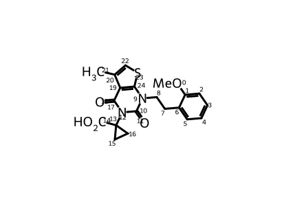 COc1ccccc1CCn1c(=O)n(C2(C(=O)O)CC2)c(=O)c2c(C)csc21